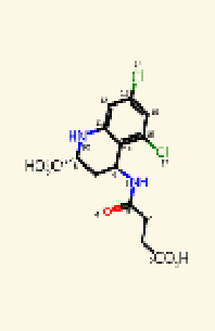 O=C(O)CCC(=O)N[C@H]1C[C@H](C(=O)O)Nc2cc(Cl)cc(Cl)c21